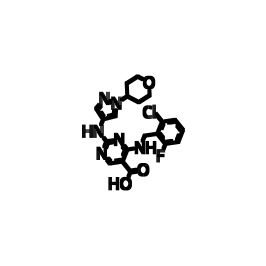 O=C(O)c1cnc(Nc2cnn(C3CCOCC3)c2)nc1NCc1c(F)cccc1Cl